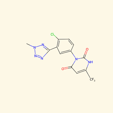 Cn1nnc(-c2cc(-n3c(=O)cc(C(F)(F)F)[nH]c3=O)ccc2Cl)n1